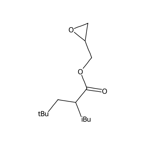 CCC(C)C(CC(C)(C)C)C(=O)OCC1CO1